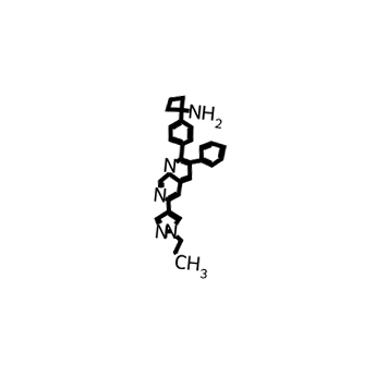 CCCn1cc(-c2cc3cc(-c4ccccc4)c(-c4ccc(C5(N)CCC5)cc4)nc3cn2)cn1